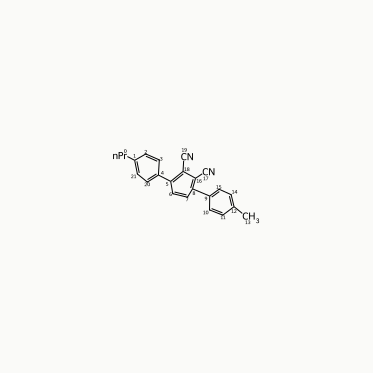 CCCc1ccc(-c2ccc(-c3ccc(C)cc3)c(C#N)c2C#N)cc1